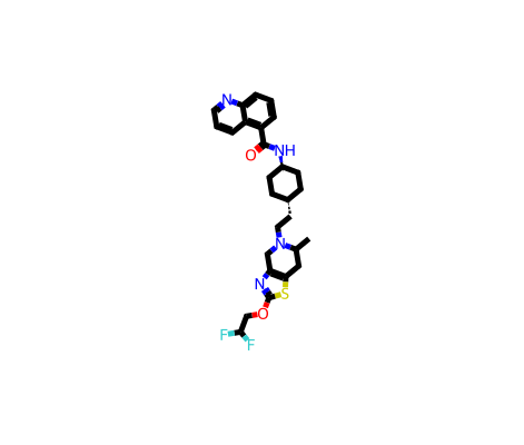 CC1Cc2sc(OCC(F)F)nc2CN1CC[C@H]1CC[C@H](NC(=O)c2cccc3ncccc23)CC1